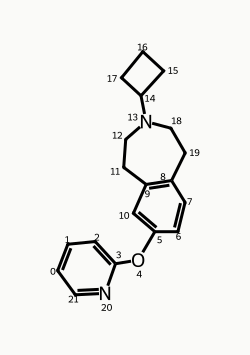 c1ccc(Oc2ccc3c(c2)CCN(C2CCC2)CC3)nc1